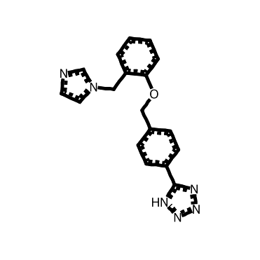 c1ccc(OCc2ccc(-c3nnn[nH]3)cc2)c(Cn2ccnc2)c1